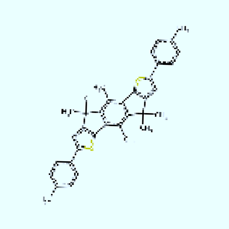 Cc1ccc(-c2cc3c(s2)-c2c(C)c4c(c(C)c2C3(C)C)-c2sc(-c3ccc(C)cc3)cc2C4(C)C)cc1